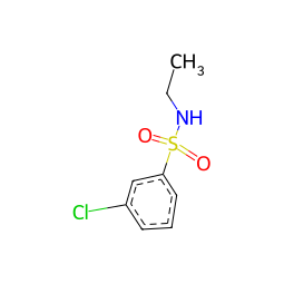 CCNS(=O)(=O)c1cccc(Cl)c1